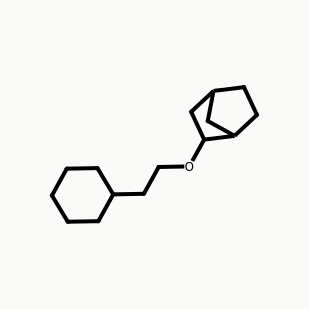 C1CCC(CCOC2CC3CCC2C3)CC1